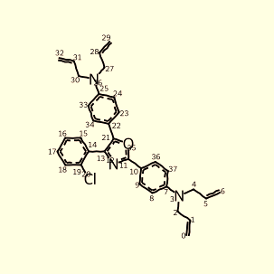 C=CCN(CC=C)c1ccc(-c2nc(-c3ccccc3Cl)c(-c3ccc(N(CC=C)CC=C)cc3)o2)cc1